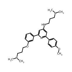 COc1ccc(-c2cc(NCCCN(C)C)cc(-c3cccc(OCCCN(C)C)c3)n2)cc1